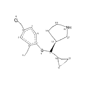 Cc1cc(Cl)ccc1OC(C1CC1)[C@H]1CCNC1